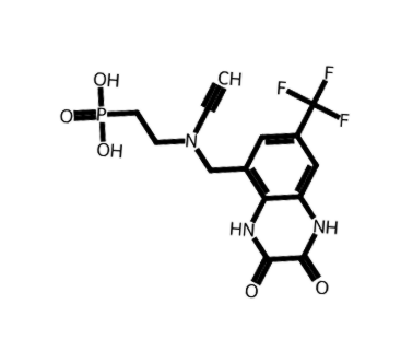 C#CN(CCP(=O)(O)O)Cc1cc(C(F)(F)F)cc2[nH]c(=O)c(=O)[nH]c12